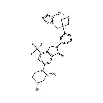 C[C@H]1CN(C)CCN1c1cc2c(c(C(F)(F)F)c1)CN(c1cccc(C3(Cc4nncn4C)COC3)c1)C2=O